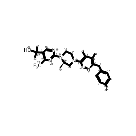 Cc1c(Cc2ccc(F)cc2)nnc(N2CCN(c3ncc(C(C)(C)O)c(C(F)(F)F)n3)[C@H](C)C2)c1C